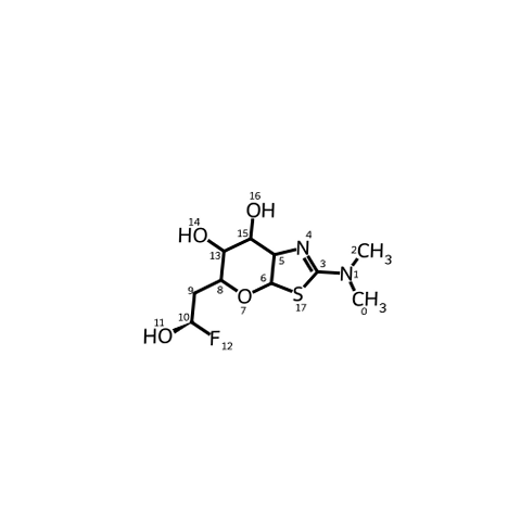 CN(C)C1=NC2C(OC(C[C@H](O)F)C(O)C2O)S1